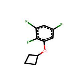 Fc1[c]c(OC2CCC2)c(F)c(F)c1